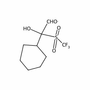 O=[C]C(O)(C1CCCCC1)S(=O)(=O)C(F)(F)F